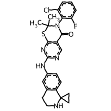 CC1(C)Sc2nc(Nc3ccc4c(c3)CCNC43CC3)ncc2C(=O)N1c1c(F)cccc1Cl